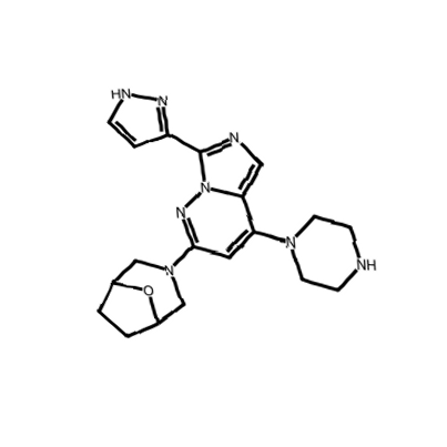 c1cc(-c2ncc3c(N4CCNCC4)cc(N4CC5CCC(C4)O5)nn23)n[nH]1